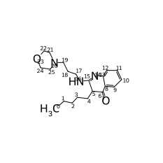 CCCCCC1C(=O)c2ccccc2N=C1NCCCN1CCOCC1